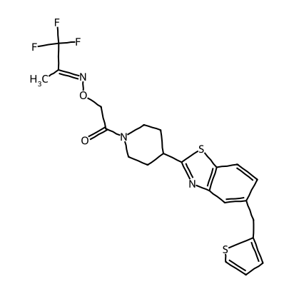 C/C(=N\OCC(=O)N1CCC(c2nc3cc(Cc4cccs4)ccc3s2)CC1)C(F)(F)F